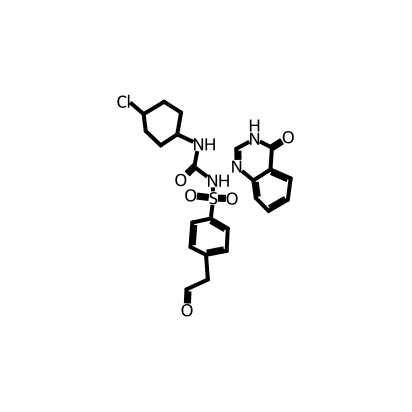 O=CCc1ccc(S(=O)(=O)NC(=O)NC2CCC(Cl)CC2)cc1.O=c1[nH]cnc2ccccc12